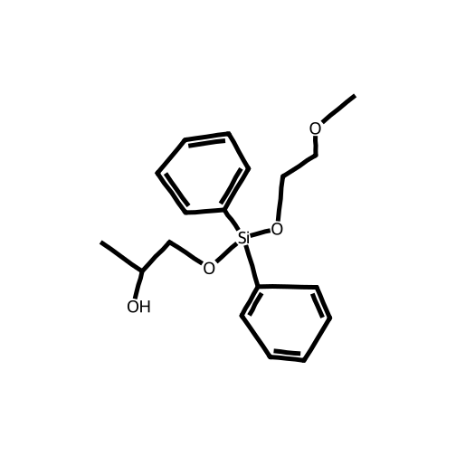 COCCO[Si](OCC(C)O)(c1ccccc1)c1ccccc1